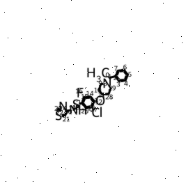 CC(c1ccccc1)N1CCC(Oc2cc(F)c(SNc3cscn3)cc2Cl)CC1